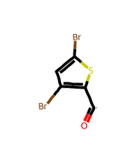 O=[C]c1sc(Br)cc1Br